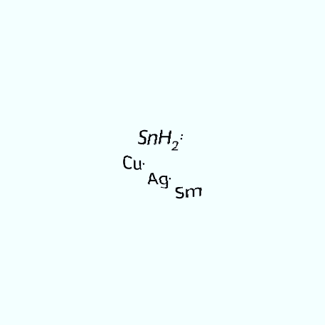 [Ag].[Cu].[Sm].[SnH2]